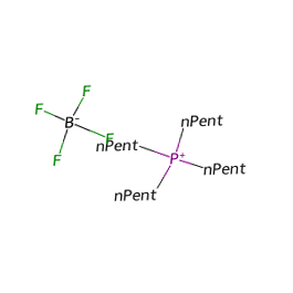 CCCCC[P+](CCCCC)(CCCCC)CCCCC.F[B-](F)(F)F